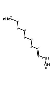 CCCCCCCCCCCCC=CNO